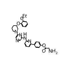 CCOc1ccccc1O[C@@H]1CCCN(c2cncc(Nc3cccc(-c4ccc(OC(=O)CN)cc4)n3)n2)C1